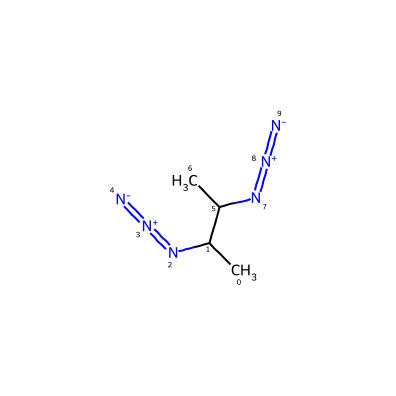 CC(N=[N+]=[N-])C(C)N=[N+]=[N-]